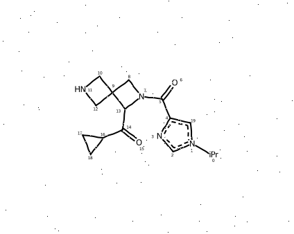 CC(C)n1cnc(C(=O)N2CC3(CNC3)C2C(=O)C2CC2)c1